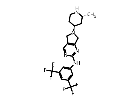 C[C@@H]1C[C@@H](N2Cc3cnc(Nc4cc(C(F)(F)F)cc(C(F)(F)F)c4)nc3C2)CCN1